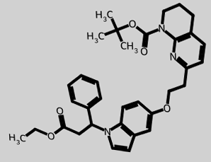 CCOC(=O)CC(c1ccccc1)n1ccc2cc(OCCc3ccc4c(n3)N(C(=O)OC(C)(C)C)CCC4)ccc21